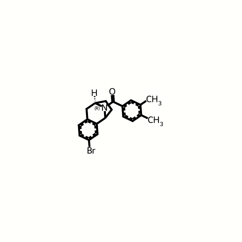 Cc1ccc(C(=O)N2C3CC[C@@H]2Cc2ccc(Br)cc23)cc1C